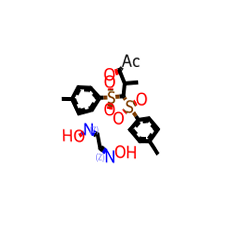 CC(=O)C(=O)C(C)C(S(=O)(=O)c1ccc(C)cc1)S(=O)(=O)c1ccc(C)cc1.O/N=C\C=N/O